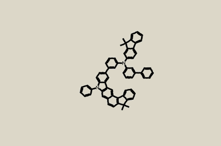 CC1(C)c2ccccc2-c2ccc(N(c3cccc(-c4ccccc4)c3)c3cccc(-c4ccc5c(c4)c4cc6c7c(ccc6cc4n5-c4ccccc4)C(C)(C)c4ccccc4-7)c3)cc21